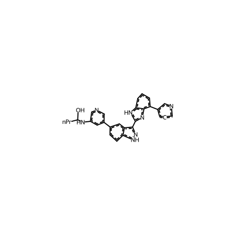 CCCC(O)Nc1cncc(-c2ccc3[nH]nc(-c4nc5c(-c6cccnc6)cccc5[nH]4)c3c2)c1